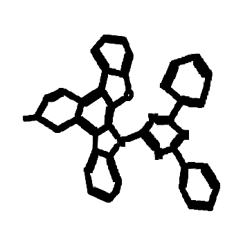 CC1C=Cc2c(c3c4ccccc4n(-c4nc(-c5ccccc5)nc(-c5ccccc5)n4)c3c3oc4ccccc4c23)C1